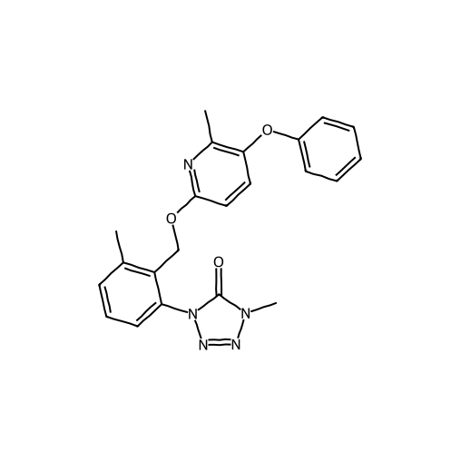 Cc1cccc(-n2nnn(C)c2=O)c1COc1ccc(Oc2ccccc2)c(C)n1